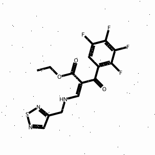 CCOC(=O)C(=CNCc1cnsn1)C(=O)c1cc(F)c(F)c(F)c1F